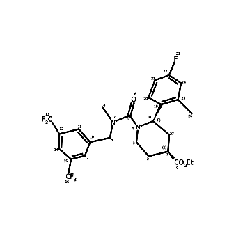 CCOC(=O)[C@H]1CCN(C(=O)N(C)Cc2cc(C(F)(F)F)cc(C(F)(F)F)c2)[C@@H](c2ccc(F)cc2C)C1